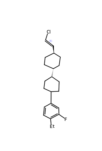 CCc1ccc(C2CCC([C@H]3CC[C@H](/C=C/Cl)CC3)CC2)cc1F